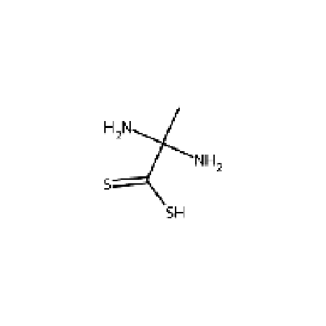 CC(N)(N)C(=S)S